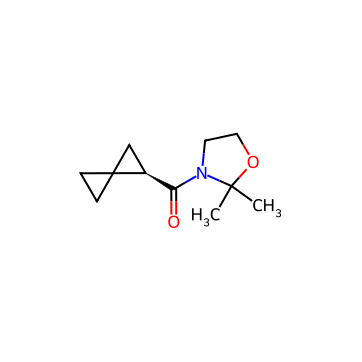 CC1(C)OCCN1C(=O)[C@@H]1CC12CC2